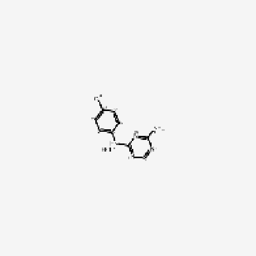 Cl.Nc1ncnc(Nc2ccc(Cl)cc2)n1